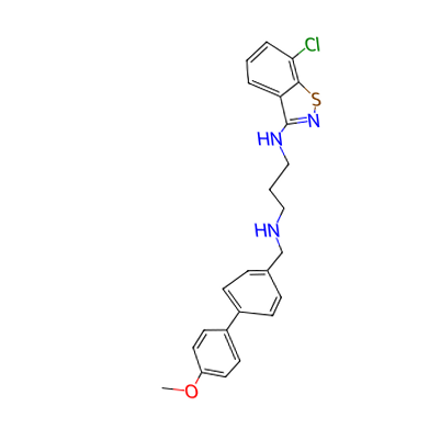 COc1ccc(-c2ccc(CNCCCNc3nsc4c(Cl)cccc34)cc2)cc1